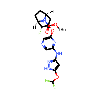 CC(C)(C)OC(=O)N1[C@H]2CC[C@@H]1[C@@H](F)[C@@H](Oc1cncc(Nc3cc(OC(F)F)[nH]n3)n1)C2